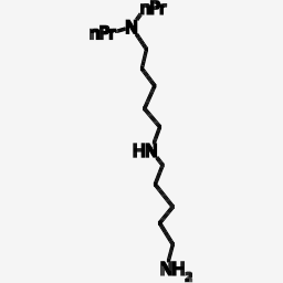 CCCN(CCC)CCCCCNCCCCCN